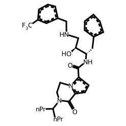 CCCC(CCC)N1CCn2c(C(=O)N[C@@H](Cc3ccccc3)[C@@H](O)CNCc3cccc(C(F)(F)F)c3)ccc2C1=O